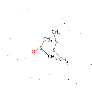 CSSC.C[S+](C)[O-]